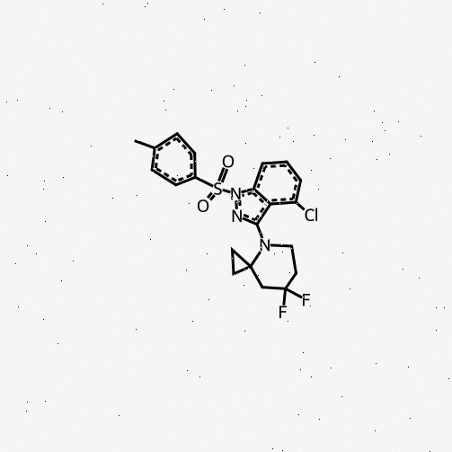 Cc1ccc(S(=O)(=O)n2nc(N3CCC(F)(F)CC34CC4)c3c(Cl)cccc32)cc1